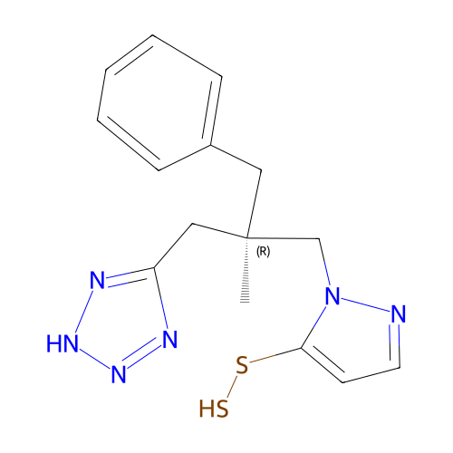 C[C@@](Cc1ccccc1)(Cc1nn[nH]n1)Cn1nccc1SS